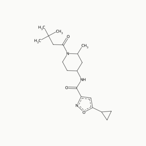 CC1CC(NC(=O)c2cc(C3CC3)on2)CCN1C(=O)CC(C)(C)C